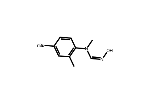 CCCCc1ccc(N(C)/C=N\O)c(C)c1